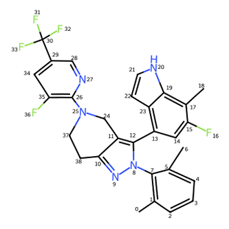 Cc1cccc(C)c1-n1nc2c(c1-c1cc(F)c(C)c3[nH]ccc13)CN(c1ncc(C(F)(F)F)cc1F)CC2